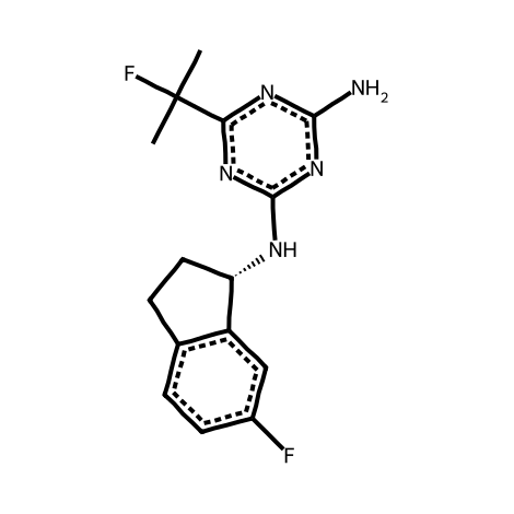 CC(C)(F)c1nc(N)nc(N[C@H]2CCc3ccc(F)cc32)n1